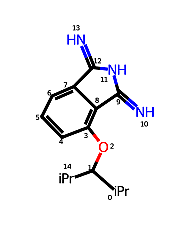 CC(C)C(Oc1cccc2c1C(=N)NC2=N)C(C)C